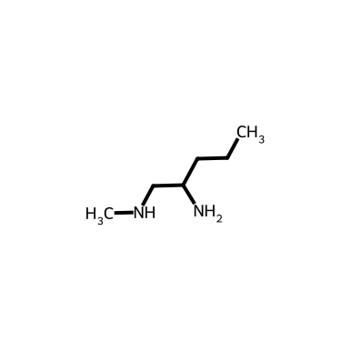 CCCC(N)CNC